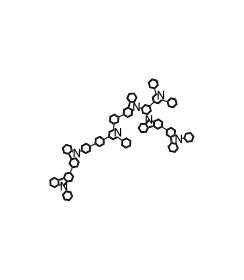 c1ccc(-c2cc(-c3cc(-n4c5ccccc5c5cc(-c6cccc(-c7cc(-c8ccc(-c9ccc(-n%10c%11ccccc%11c%11cc(-c%12ccc%13c(c%12)c%12ccccc%12n%13-c%12ccccc%12)ccc%11%10)cc9)cc8)cc(-c8ccccc8)n7)c6)ccc54)cc(-n4c5ccccc5c5cc(-c6ccc7c(c6)c6ccccc6n7-c6ccccc6)ccc54)c3)cc(-c3ccccc3)n2)cc1